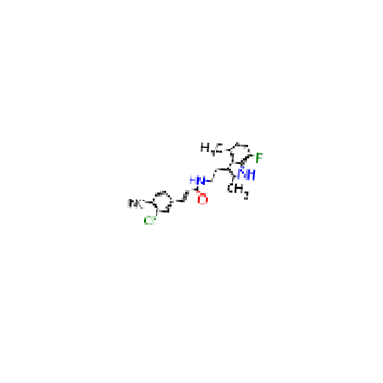 Cc1[nH]c2c(F)ccc(C)c2c1CCNC(=O)/C=C/c1ccc(C#N)c(Cl)c1